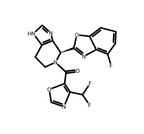 O=C(c1ocnc1C(F)F)N1CCc2[nH]cnc2[C@H]1c1nc2c(F)cccc2o1